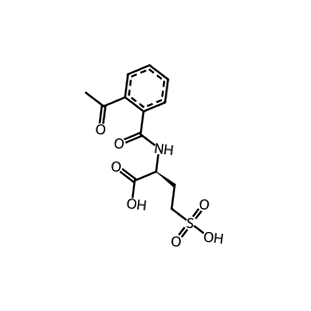 CC(=O)c1ccccc1C(=O)N[C@@H](CCS(=O)(=O)O)C(=O)O